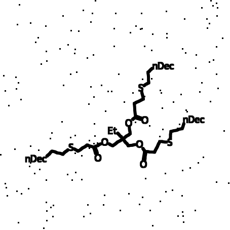 CCCCCCCCCCCCSCCC(=O)OCC(CC)(COC(=O)CCSCCCCCCCCCCCC)COC(=O)CCSCCCCCCCCCCCC